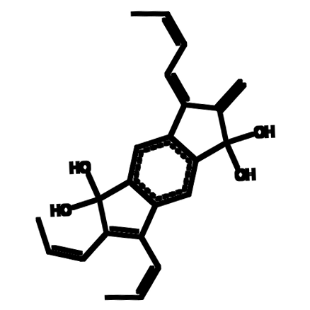 C=C1/C(=C\C=C/C)c2cc3c(cc2C1(O)O)C(/C=C\C)=C(/C=C\C)C3(O)O